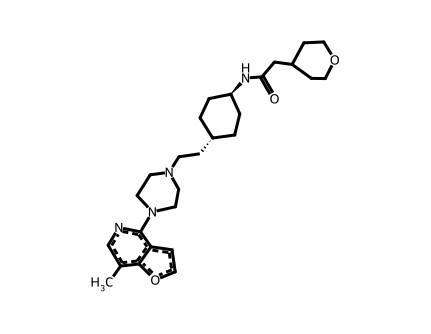 Cc1cnc(N2CCN(CC[C@H]3CC[C@H](NC(=O)CC4CCOCC4)CC3)CC2)c2ccoc12